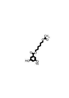 [2H]Oc1cc(O)cc(C(=O)OCCCCCCOC(C)=O)c1